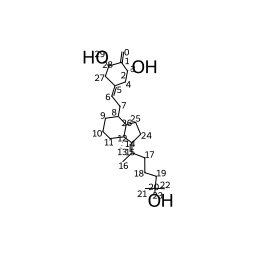 C=C1[C@H](O)CC(=CCC2CCC[C@]3(C)/C(=C(\C)CCCC(C)(C)O)CCC23)C[C@H]1O